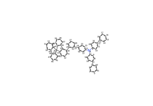 c1ccc(-c2ccc(N(c3ccc(-c4ccccc4)cc3)c3ccc(-c4cccc(-c5cccc6c5-c5ccccc5C65c6ccccc6-c6ccccc65)c4)cc3)cc2)cc1